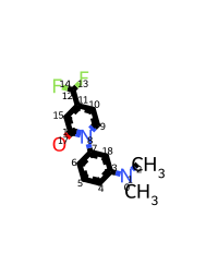 CN(C)c1cccc(-n2ccc(C(F)F)cc2=O)c1